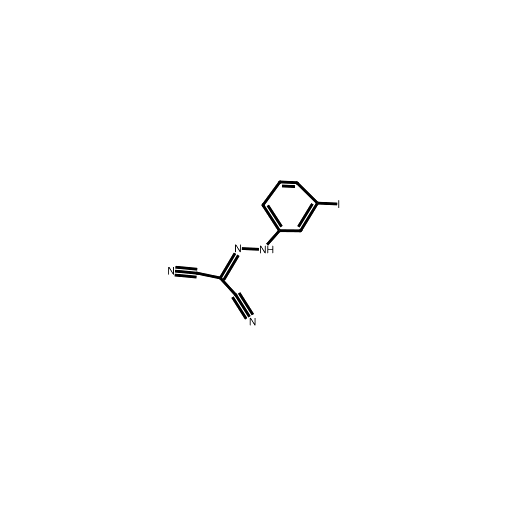 N#CC(C#N)=NNc1cccc(I)c1